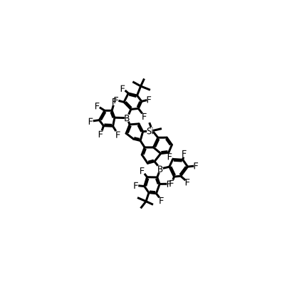 CC(C)(C)c1c(F)c(F)c(B(c2ccc3c(c2)[Si](C)(C)c2cccc4c(B(c5c(F)c(F)c(F)c(F)c5F)c5c(F)c(F)c(C(C)(C)C)c(F)c5F)ccc-3c24)c2c(F)c(F)c(F)c(F)c2F)c(F)c1F